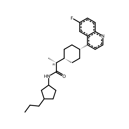 CCCC1CCC(NC(=O)[C@H](C)[C@H]2CC[C@@H](c3ccnc4ccc(F)cc43)CC2)C1